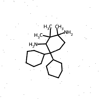 CC1(N)CCC(C2CCCCC2)(C2CCCCC2)C(N)C1(C)C